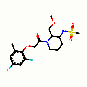 COC[C@H]1C(NS(C)(=O)=O)CCCN1C(=O)COc1c(C)cc(F)cc1F